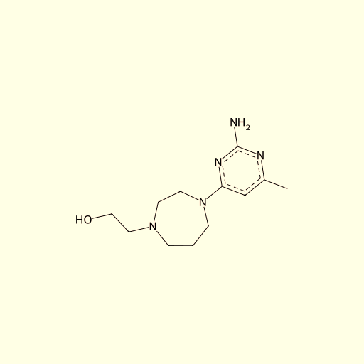 Cc1cc(N2CCCN(CCO)CC2)nc(N)n1